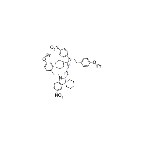 CC(C)Oc1ccc(CCN2/C(=C/C=C/C3=[N+](CCc4ccc(OC(C)C)cc4)c4ccc([N+](=O)[O-])cc4C34CCCCC4)C3(CCCCC3)c3cc([N+](=O)[O-])ccc32)cc1